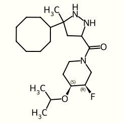 CC(C)O[C@H]1CCN(C(=O)C2CC(C)(C3CCCCCCC3)NN2)C[C@H]1F